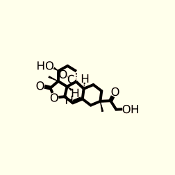 C[C@]1(C(=O)CO)CC[C@H]2C(=C[C@@H]3OC(=O)[C@@]4(C)[C@@H]3[C@]23CC[C@]4(O)OC3)C1